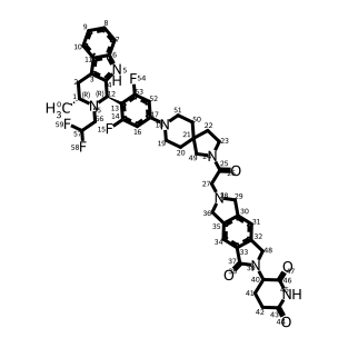 C[C@@H]1Cc2c([nH]c3ccccc23)[C@@H](c2c(F)cc(N3CCC4(CCN(C(=O)CN5Cc6cc7c(cc6C5)C(=O)N(C5CCC(=O)NC5=O)C7)C4)CC3)cc2F)N1CC(F)F